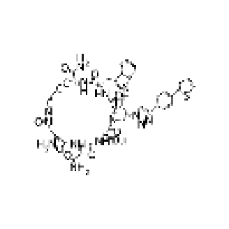 CC[C@H](C)[C@@H]1NC(=O)[C@H](CC(N)=O)NC(=O)[C@@H](N)CC(=O)NCCCC[C@@H](C(N)=O)NC(=O)[C@H](Cc2c[nH]c3ccccc23)NC(=O)[C@@H]2C[C@H](n3cc(-c4ccc(-c5cccs5)cc4)nn3)CN2C1=O